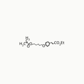 C=C(C)C(=O)OCCCCCCOc1ccc(C=CC(=O)OCC)cc1